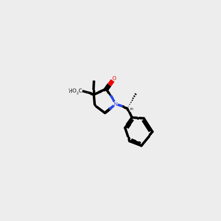 C[C@H](c1ccccc1)N1CCC(C)(C(=O)O)C1=O